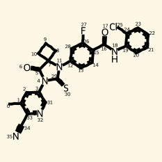 Cc1cc(N2C(=O)C3(CCC3)N(c3ccc(C(=O)Nc4ccccc4Cl)c(F)c3)C2=S)cnc1C#N